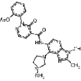 COc1ccccc1-n1nccc(C(=O)Nc2ccc3c(nc(C)n3C)c2N2CC[C@H](N)C2)c1=O